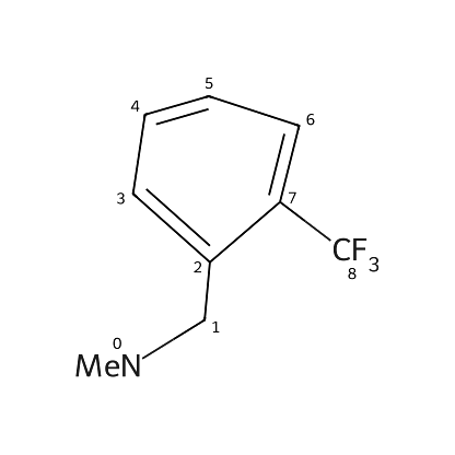 [CH2-][NH2+]Cc1ccccc1C(F)(F)F